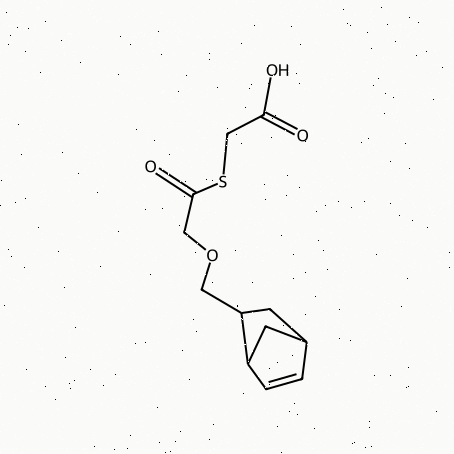 O=C(O)CSC(=O)COCC1CC2C=CC1C2